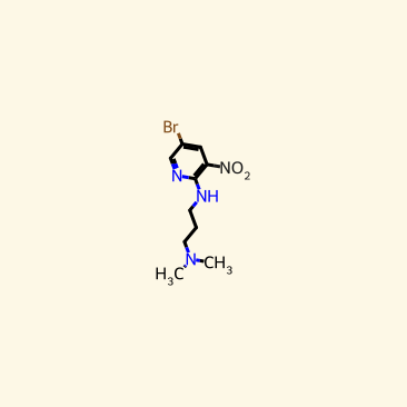 CN(C)CCCNc1ncc(Br)cc1[N+](=O)[O-]